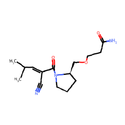 CC(C)C=C(C#N)C(=O)N1CCC[C@@H]1COCCC(N)=O